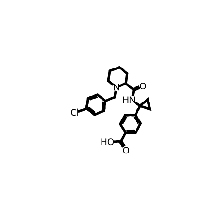 O=C(O)c1ccc(C2(NC(=O)C3CCCCN3Cc3ccc(Cl)cc3)CC2)cc1